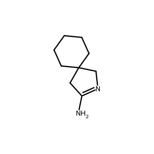 NC1=NCC2(CCCCC2)C1